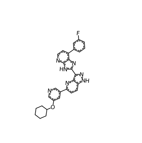 Fc1cccc(-c2ccnc3[nH]c(-c4n[nH]c5ccc(-c6cncc(OC7CCCCC7)c6)nc45)nc23)c1